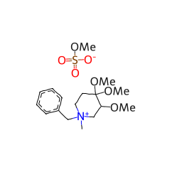 COC1C[N+](C)(Cc2ccccc2)CCC1(OC)OC.COS(=O)(=O)[O-]